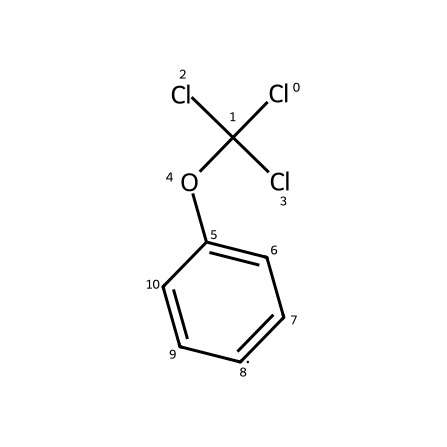 ClC(Cl)(Cl)Oc1cc[c]cc1